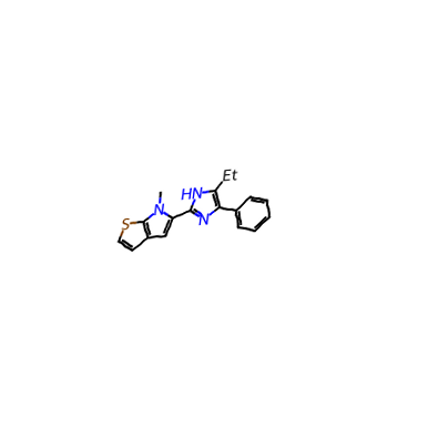 CCc1[nH]c(-c2cc3ccsc3n2C)nc1-c1ccccc1